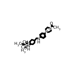 CC(=O)N1CCN(c2ccc(NCC3CCC(NS(=O)(=O)C(C)(C)C)CC3)cc2)CC1